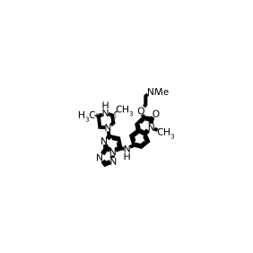 CNCCOc1cc2cc(Nc3cc(N4C[C@@H](C)N[C@@H](C)C4)nc4ncnn34)ccc2n(C)c1=O